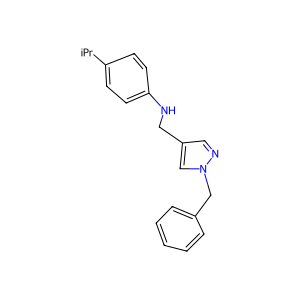 CC(C)c1ccc(NCc2cnn(Cc3ccccc3)c2)cc1